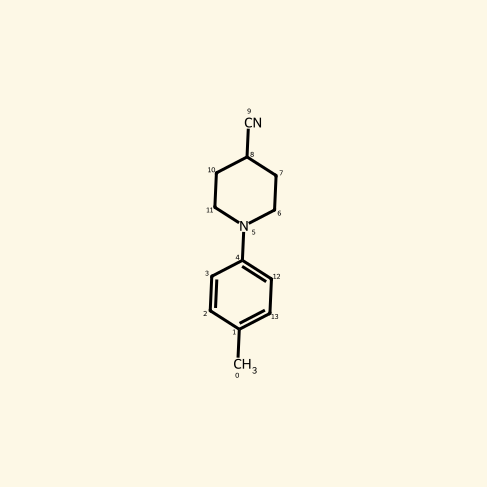 Cc1ccc(N2CCC(C#N)CC2)cc1